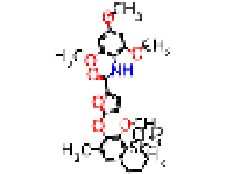 COc1cc(OC)c(NC(=O)c2ccc(Oc3c(C)cc4c(c3OC)[Si](C)(C)CCC4)o2)c(OC)c1